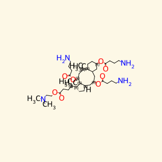 C[C@H](CCC(=O)OCCN(C)C)[C@H]1CC[C@H]2C[C@H](OC(=O)CCCN)CC3C[C@H](OC(=O)CCCN)CC[C@]3(C)[C@H](C)C[C@H](OC(=O)CCCN)[C@@]21C